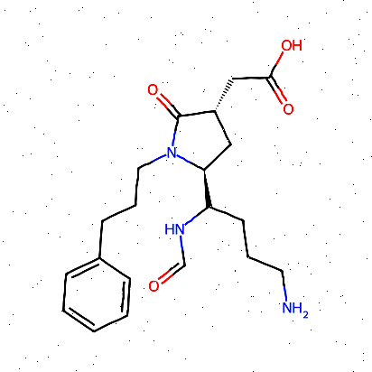 NCCCC(NC=O)[C@@H]1C[C@@H](CC(=O)O)C(=O)N1CCCc1ccccc1